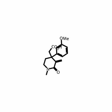 C=C1C(=O)N(C)CCC1(CC(=O)O)c1cccc(OC)c1